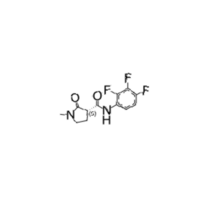 CN1CC[C@@H](C(=O)Nc2ccc(F)c(F)c2F)C1=O